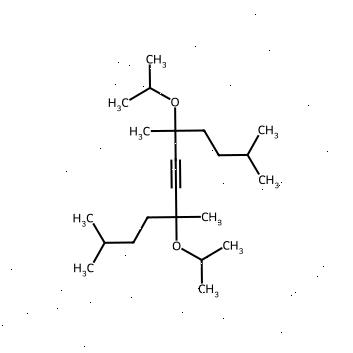 CC(C)CCC(C)(C#CC(C)(CCC(C)C)OC(C)C)OC(C)C